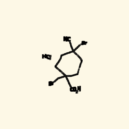 Cl.N#CC1(Br)CCC(Br)(C(=O)O)CC1